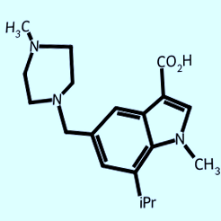 CC(C)c1cc(CN2CCN(C)CC2)cc2c(C(=O)O)cn(C)c12